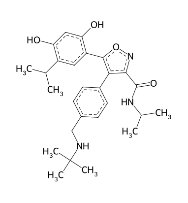 CC(C)NC(=O)c1noc(-c2cc(C(C)C)c(O)cc2O)c1-c1ccc(CNC(C)(C)C)cc1